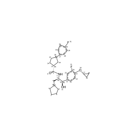 O=C(N[C@H](CN1CCCC1)[C@H](O)c1ccc(OC2CC2)c(F)c1)[C@@H]1CCN(c2ccc(F)cc2)C1